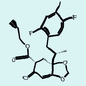 C=CCOC(=O)[C@@H]1C[C@]2([C@@H](C)Cc3cc(F)c(C)cc3F)OCOC2=CC1=O